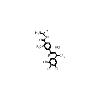 CC[C@H](N)NC(=O)c1ccc(/C(F)=C/C(c2cc(Cl)c(Cl)c(Cl)c2)C(F)(F)F)cc1C(F)(F)F.Cl